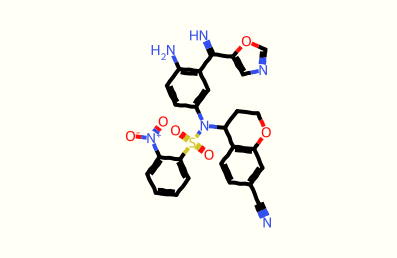 N#Cc1ccc2c(c1)OCCC2N(c1ccc(N)c(C(=N)c2cnco2)c1)S(=O)(=O)c1ccccc1[N+](=O)[O-]